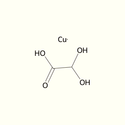 O=C(O)C(O)O.[Cu]